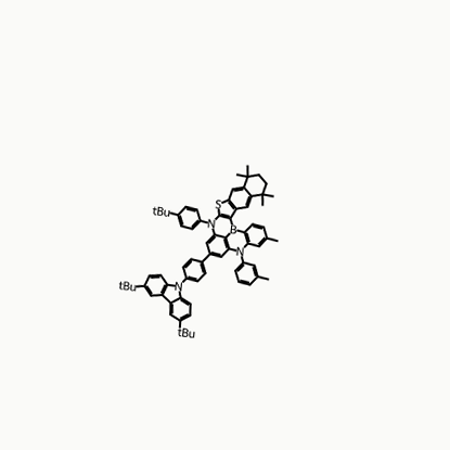 Cc1cccc(N2c3cc(C)ccc3B3c4c2cc(-c2ccc(-n5c6ccc(C(C)(C)C)cc6c6cc(C(C)(C)C)ccc65)cc2)cc4N(c2ccc(C(C)(C)C)cc2)c2sc4cc5c(cc4c23)C(C)(C)CCC5(C)C)c1